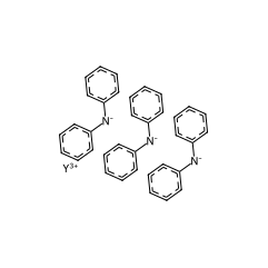 [Y+3].c1ccc([N-]c2ccccc2)cc1.c1ccc([N-]c2ccccc2)cc1.c1ccc([N-]c2ccccc2)cc1